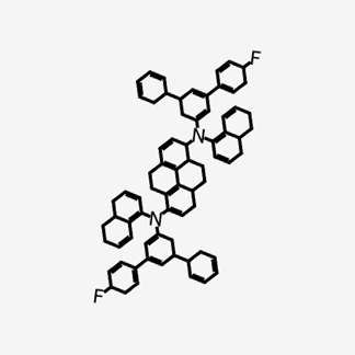 FC1C=CC(C2=CC(C3C=CC=CC3)CC(N(C3=CCC4CCC5C6=C(C=CC5N(C5=CC(C7=CCC(F)C=C7)=CC(C7C=CC=CC7)C5)C5=C7C=CCCC7CC=C5)CCC3=C64)C3=C4C=CCCC4CC=C3)=C2)=CC1